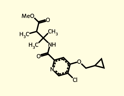 COC(=O)C(C)C(C)(C)NC(=O)c1cc(OCC2CC2)c(Cl)cn1